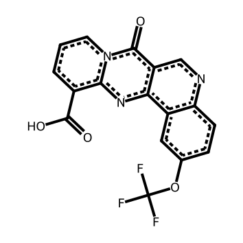 O=C(O)c1cccn2c(=O)c3cnc4ccc(OC(F)(F)F)cc4c3nc12